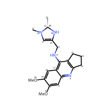 COc1cc2nc3c(c(NCC4=CN(C)[C@H](C)N4)c2cc1OC)CCC3